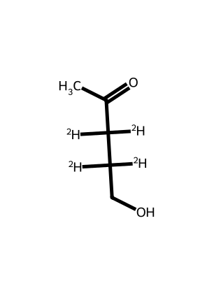 [2H]C([2H])(CO)C([2H])([2H])C(C)=O